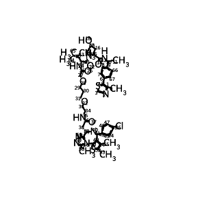 Cc1ncsc1-c1ccc(C(C)NC(=O)C2C[C@@H](O)CN2C(=O)C(NC(=O)COCCCOCCNC(=O)C[C@@H]2N=C(c3ccc(Cl)cc3)c3c(sc(C)c3C)-n3c(C)nnc32)C(C)(C)C)cc1